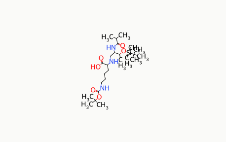 CC(C)C(=O)NC(CNC(CCCCNC(=O)OC(C)(C)C)C(=O)O)C(C)O[Si](C)(C)C(C)(C)C